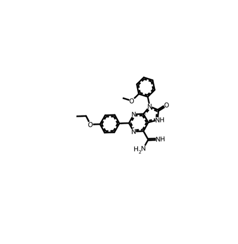 CCOc1ccc(-c2nc(C(=N)N)c3[nH]c(=O)n(-c4ccccc4OC)c3n2)cc1